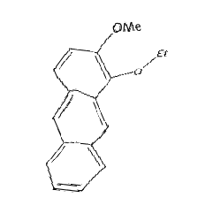 CCOc1c(OC)ccc2cc3ccccc3cc12